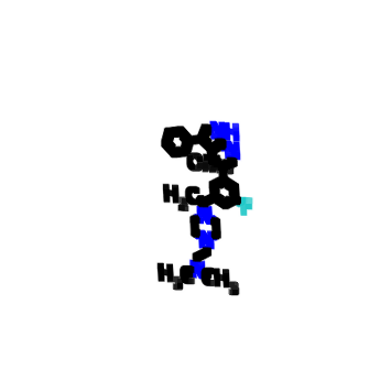 C=C(c1cc(F)cc(-c2cnc3[nH]cc(-c4ccccc4OC)c3c2)c1)N1CCN(CCN(C)C)CC1